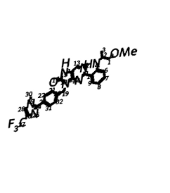 COCC(C)Nc1ccccc1-c1ncc2[nH]c(=O)n(Cc3ccc(-c4nc(C(F)(F)F)cn4C)cc3)c2n1